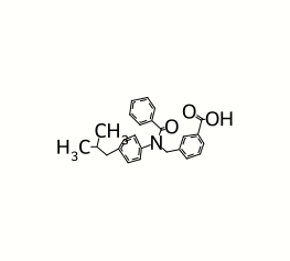 CC(C)Cc1ccc(N(Cc2cccc(C(=O)O)c2)C(=O)c2ccccc2)cc1